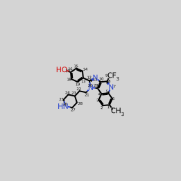 Cc1ccc2c(c1)nc(C(F)(F)F)c1nc(-c3ccc(O)cc3)n(CCC3CCNCC3)c12